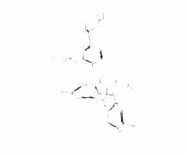 COC(=O)c1ccc(COCC(C2CCCCC2)C2(c3ccc(Cl)cc3)Nc3cc(F)c(F)cc3N2)c(OC)c1